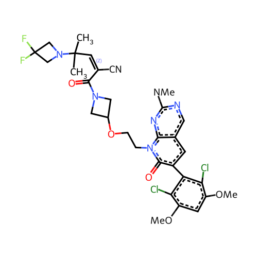 CNc1ncc2cc(-c3c(Cl)c(OC)cc(OC)c3Cl)c(=O)n(CCOC3CN(C(=O)/C(C#N)=C\C(C)(C)N4CC(F)(F)C4)C3)c2n1